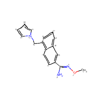 CON=C(N)c1ccc2c(Cn3cccc3)cccc2c1